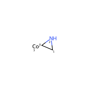 C1CN1.[Co]